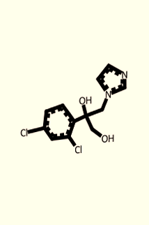 OCC(O)(Cn1ccnc1)c1ccc(Cl)cc1Cl